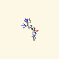 CNc1cc(-c2cccnc2)cc(-c2ccc(-c3ccc(C(=O)N4CCN(C(C)(C)C)CC4)cc3)cn2)n1